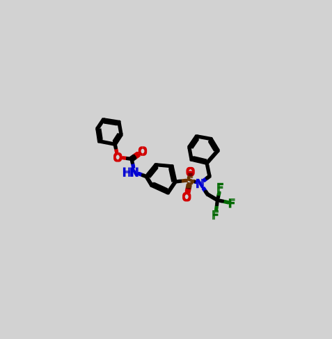 O=C(Nc1ccc(S(=O)(=O)N(Cc2ccccc2)CC(F)(F)F)cc1)Oc1ccccc1